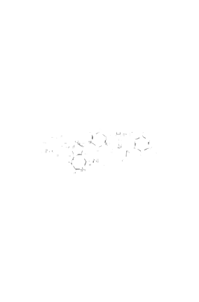 COc1ccc(C)cc1C(=O)NCc1cccc(-c2nn([C@@H]3CCCNC3)c3ncnc(N)c23)c1